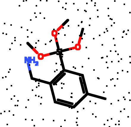 CO[Si](OC)(OC)c1cc(C)ccc1CN